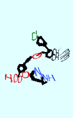 CC1(C)CCC(COCC#Cc2ccc(C(=O)O)c(Oc3cnc4[nH]ccc4c3)c2)=C(c2ccc(Cl)cc2)C1